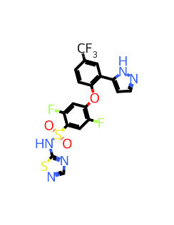 O=S(=O)(Nc1ncns1)c1cc(F)c(Oc2ccc(C(F)(F)F)cc2-c2ccn[nH]2)cc1F